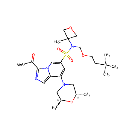 COC(=O)c1ncc2c(N3C[C@H](C)O[C@@H](C)C3)cc(S(=O)(=O)N(COCC[Si](C)(C)C)C3(C)COC3)cn12